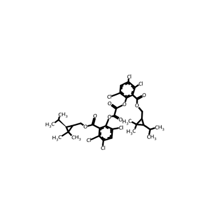 CC(C)C1C(COC(=O)c2c(Cl)c(Cl)cc(Cl)c2OC(=O)C(=O)Oc2c(Cl)cc(Cl)c(Cl)c2C(=O)OCC2[C@H](C(C)C)C2(C)C)C1(C)C